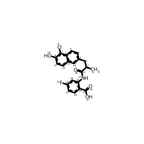 CC(Cc1ccc2c(Cl)c(O)ccc2c1)C(=O)Nc1cc(F)ccc1C(=O)O